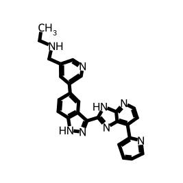 CCNCc1cncc(-c2ccc3[nH]nc(-c4nc5c(-c6ccccn6)ccnc5[nH]4)c3c2)c1